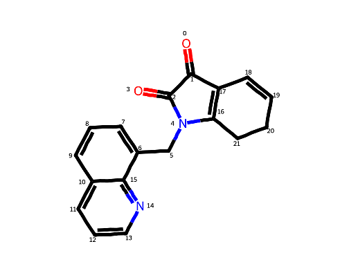 O=C1C(=O)N(Cc2cccc3cccnc23)C2=C1C=CCC2